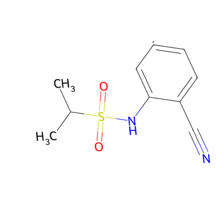 CC(C)S(=O)(=O)Nc1c[c]ccc1C#N